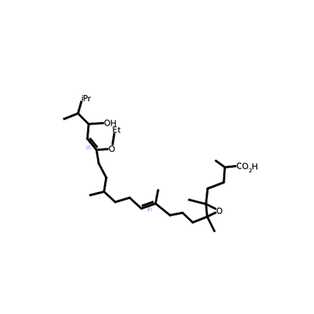 CCO/C(=C\C(O)C(C)C(C)C)CCC(C)CC/C=C(\C)CCCC1(C)OC1(C)CCC(C)C(=O)O